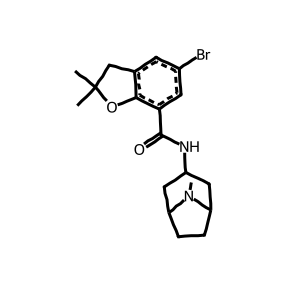 CN1C2CCC1CC(NC(=O)c1cc(Br)cc3c1OC(C)(C)C3)C2